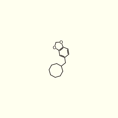 c1cc2c(cc1CC1CCCCCCC1)OCO2